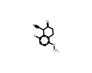 COc1ccc(F)c2c1CCC(=O)C2C#N